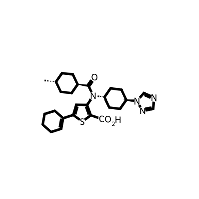 C[C@H]1CC[C@H](C(=O)N(c2cc(C3=CCCCC3)sc2C(=O)O)[C@H]2CC[C@H](n3cncn3)CC2)CC1